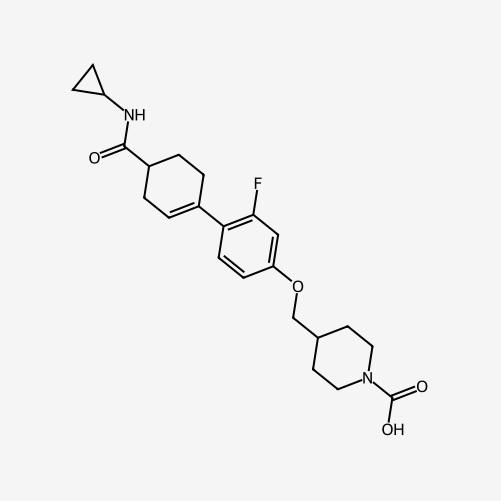 O=C(NC1CC1)C1CC=C(c2ccc(OCC3CCN(C(=O)O)CC3)cc2F)CC1